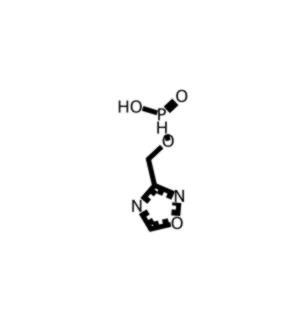 O=[PH](O)OCc1ncon1